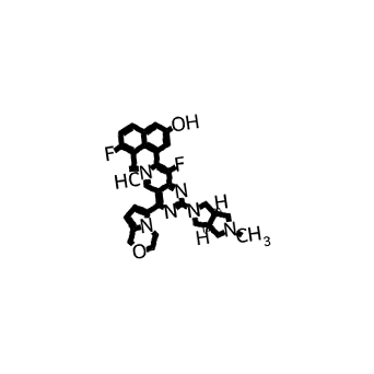 C#Cc1c(F)ccc2cc(O)cc(-c3ncc4c(-c5ccc6n5CCOC6)nc(N5C[C@H]6CN(C)C[C@H]6C5)nc4c3F)c12